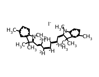 [2H]C(=CC1=[N+](C)c2ccc(C)cc2C1(C)C)C([2H])=C([2H])C([2H])=C([2H])C=C1N(C)c2ccc(C)cc2C1(C)C.[I-]